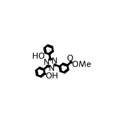 COC(=O)c1cccc(-c2nc(-c3ccccc3O)nc(-c3ccccc3O)n2)c1